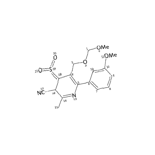 COCOCC1=C(c2cccc(OC)c2)N=C(C)C(C#N)C1=S(=O)=O